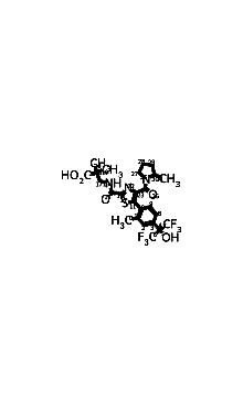 Cc1cc(C(O)(C(F)(F)F)C(F)(F)F)ccc1-c1sc(C(=O)NCC(C)(C)C(=O)O)nc1C(=O)N1CCCC1C